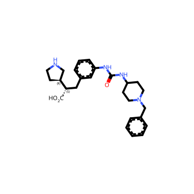 O=C(Nc1cccc(C[C@H](C(=O)O)[C@H]2CCNC2)c1)NC1CCN(Cc2ccccc2)CC1